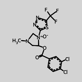 CN1CC(OC(=O)c2ccc(Cl)c(Cl)c2)[N+]([O-])(c2nnc(C(F)(F)F)s2)C1